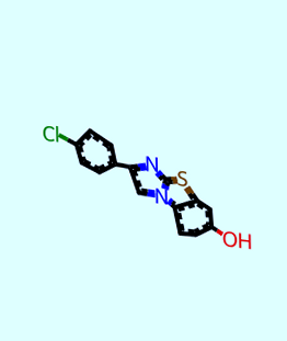 Oc1ccc2c(c1)sc1nc(-c3ccc(Cl)cc3)cn12